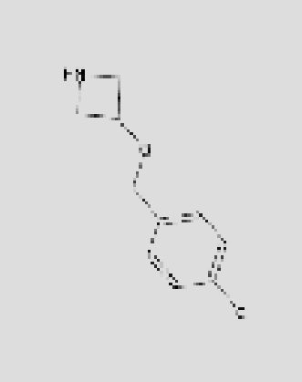 Clc1ccc(COC2CNC2)cc1